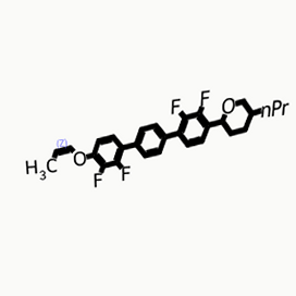 C/C=C\Oc1ccc(-c2ccc(-c3ccc(C4CCC(CCC)CO4)c(F)c3F)cc2)c(F)c1F